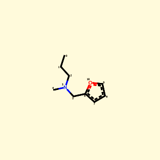 CCCN(C)Cc1ccco1